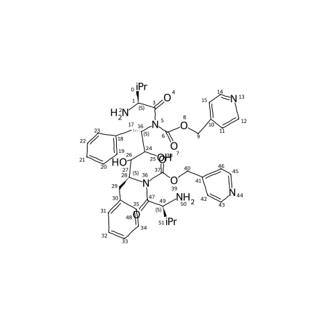 CC(C)[C@H](N)C(=O)N(C(=O)OCc1ccncc1)[C@@H](Cc1ccccc1)C(O)C(O)[C@H](Cc1ccccc1)N(C(=O)OCc1ccncc1)C(=O)[C@@H](N)C(C)C